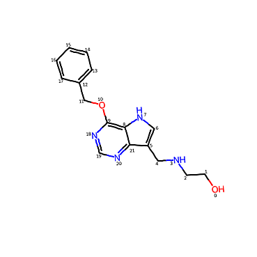 OCCNCc1c[nH]c2c(OCc3ccccc3)ncnc12